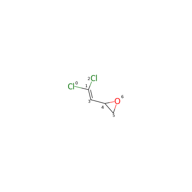 ClC(Cl)=CC1CO1